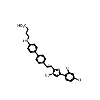 CCn1cc(-c2ccc(Cl)cc2Cl)nc1/C=C/c1ccc(-c2ccc(NCCCC(=O)O)cc2)cc1